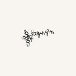 CC/C=C\CC(=O)NCCSCCNC(=O)C[C@H](O)C[C@H](O)CCn1c(-c2ccc(F)cc2)c(-c2ccccc2)c(C(=O)Nc2ccccc2)c1C(C)C